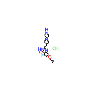 Cl.O=c1[nH]c(CCC2CCN(C3CCNCC3)CC2)nc2cc(OCC3CC3)cc(F)c12